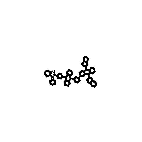 c1ccc(-n2c(-c3ccc(-c4c5ccccc5c(-c5cccc(-c6ccc7c(-c8ccc9ccccc9c8)c8ccccc8c(-c8ccc9ccccc9c8)c7c6)c5)c5ccccc45)cc3)nc3ccccc32)cc1